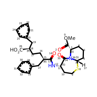 COC(=O)[C@@H]1CCC[C@@H]2SCC[C@H](NC(=O)[C@H](CC[C@H](Cc3ccccc3)C(=O)O)Cc3ccccc3)C(=O)N21